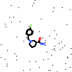 NC(=O)[C@H]1CCCN(Cc2ccc(F)cc2)C1